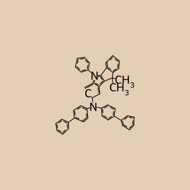 CC1(C)c2ccccc2-c2c1c1c(n2-c2ccccc2)=CCC(N(c2ccc(-c3ccccc3)cc2)c2ccc(-c3ccccc3)cc2)C=1